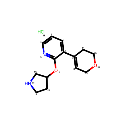 C1=C(c2cccnc2OC2CCNC2)CCOC1.Cl